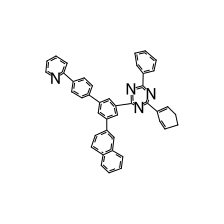 C1=CC(c2nc(-c3ccccc3)nc(-c3cc(-c4ccc(-c5ccccn5)cc4)cc(-c4ccc5ccccc5c4)c3)n2)=CCC1